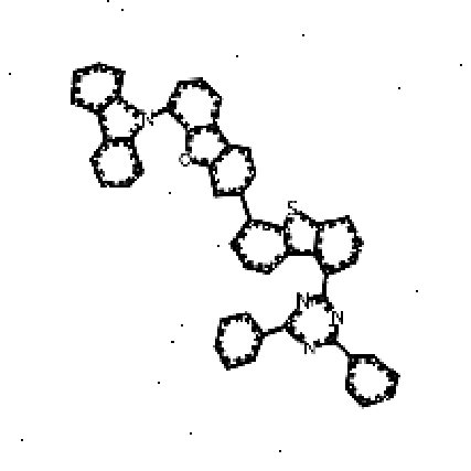 c1ccc(-c2nc(-c3ccccc3)nc(-c3cccc4sc5c(-c6ccc7c(c6)oc6c(-n8c9ccccc9c9ccccc98)cccc67)cccc5c34)n2)cc1